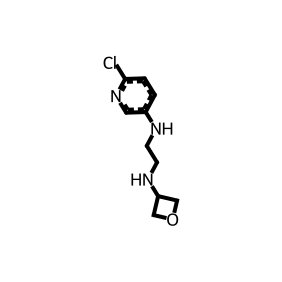 Clc1ccc(NCCNC2COC2)cn1